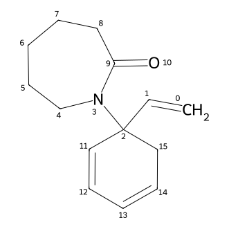 C=CC1(N2CCCCCC2=O)C=CC=CC1